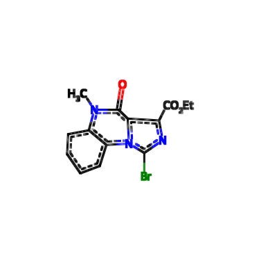 CCOC(=O)c1nc(Br)n2c1c(=O)n(C)c1ccccc12